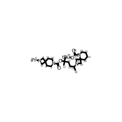 CC(C)N1CC2(CCN(C(=O)OC(C)(C)CCC(C)N3CC4(CCCCN4C(=O)OC(C)(C)C)C3)CC2)C1